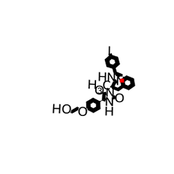 C[C@](Cc1ccccc1)(c1ncc(-c2ccc(I)cc2)[nH]1)N1C(=O)N[C@H](c2ccc(OCCO)cc2)C1=O